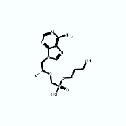 C[C@H](Cn1cnc2c(N)ncnc21)OCP(=O)(O)OCCCO